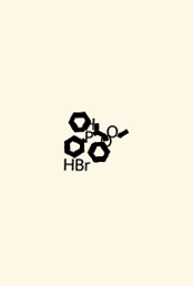 Br.CCOC(=O)C(C)[PH](c1ccccc1)(c1ccccc1)c1ccccc1